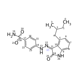 CCC(C)Cc1cccc2c1/C(=N/Nc1ccc(S(N)(=O)=O)cc1)C(=O)N2